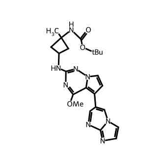 COc1nc(NC2CC(C)(NC(=O)OC(C)(C)C)C2)nn2ccc(-c3cnc4nccn4c3)c12